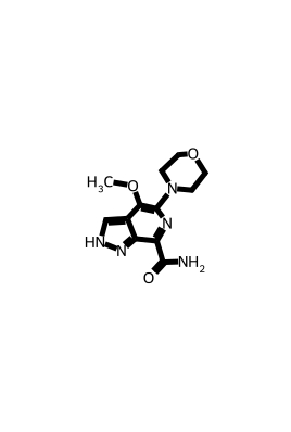 COc1c(N2CCOCC2)nc(C(N)=O)c2n[nH]cc12